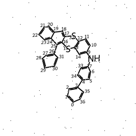 c1ccc(-c2ccc(Nc3ccc4c(c3)Sc3c(cc5ccccc5c3-c3ccccc3)S4)cc2)cc1